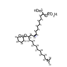 CCCCCCCCCCC(CCCCCCC/C=C\CC(CCCCCCCCCN(C)C)OC1CCCCO1)OC(=O)O